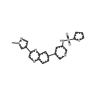 Cn1cc(-c2cnc3ccc(-c4cncc(NS(=O)(=O)c5cccs5)c4)cc3n2)cn1